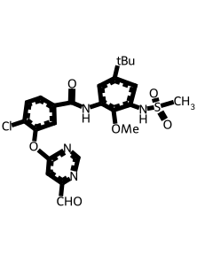 COc1c(NC(=O)c2ccc(Cl)c(Oc3cc(C=O)ncn3)c2)cc(C(C)(C)C)cc1NS(C)(=O)=O